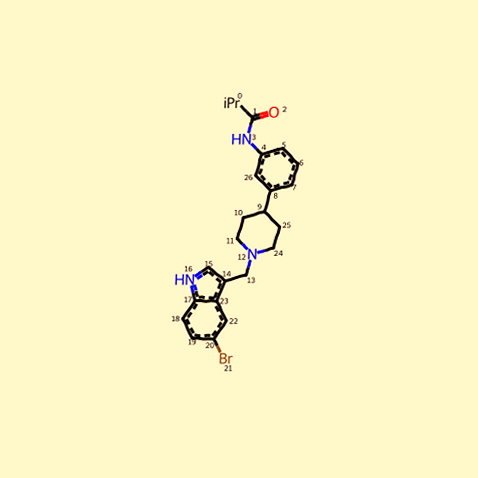 CC(C)C(=O)Nc1cccc(C2CCN(Cc3c[nH]c4ccc(Br)cc34)CC2)c1